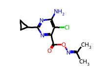 CC(C)=NOC(=O)c1nc(C2CC2)nc(N)c1Cl